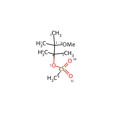 COC(C)(C)C(C)(C)OS(C)(=O)=O